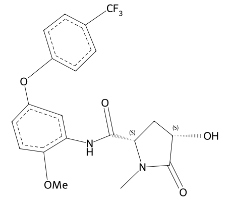 COc1ccc(Oc2ccc(C(F)(F)F)cc2)cc1NC(=O)[C@@H]1C[C@H](O)C(=O)N1C